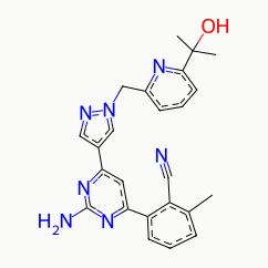 Cc1cccc(-c2cc(-c3cnn(Cc4cccc(C(C)(C)O)n4)c3)nc(N)n2)c1C#N